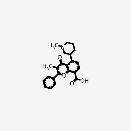 Cc1c(-c2ccccc2)oc2c(C(=O)O)ccc(C3CCCN(C)C3)c2c1=O